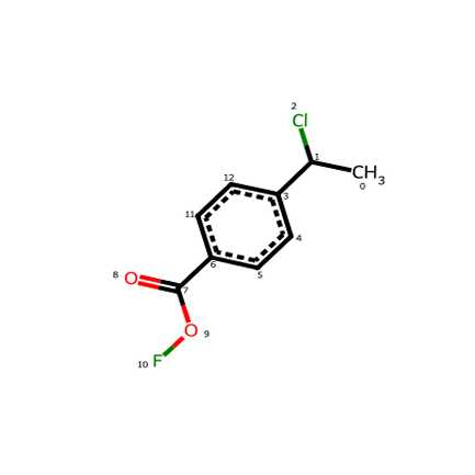 CC(Cl)c1ccc(C(=O)OF)cc1